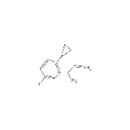 [CH2]C(C=C)c1cc(F)ccc1C1CC1